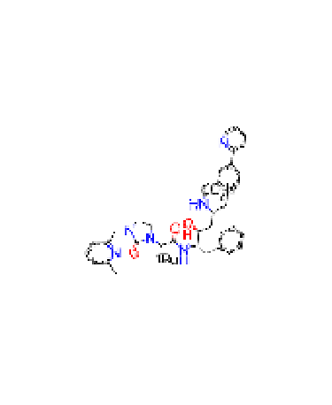 Cc1cccc(CN2CCN([C@H](C(=O)N[C@@H](Cc3ccccc3)[C@@H](O)CC(Cc3ccc(-c4ccccn4)cc3)NC(=O)O)C(C)(C)C)C2=O)n1